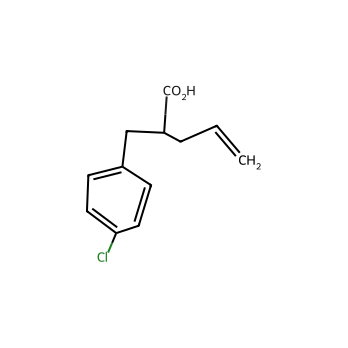 C=CCC(Cc1ccc(Cl)cc1)C(=O)O